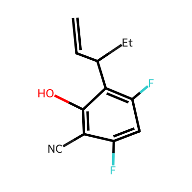 C=CC(CC)c1c(F)cc(F)c(C#N)c1O